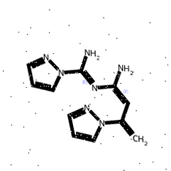 C=C(/C=C(N)\N=C(/N)n1cccn1)n1cccn1